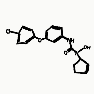 O=C(Nc1cccc(Oc2ccc(Cl)cc2)c1)N(O)C1C=CCC1